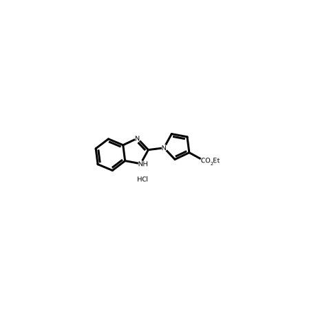 CCOC(=O)c1ccn(-c2nc3ccccc3[nH]2)c1.Cl